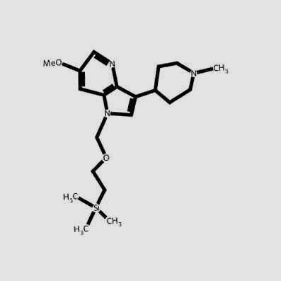 COc1cnc2c(C3CCN(C)CC3)cn(COCC[Si](C)(C)C)c2c1